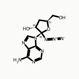 [N-]=[N+]=N[C@@]1(n2cnc3c(N)ncnc32)O[C@H](CO)C[C@H]1O